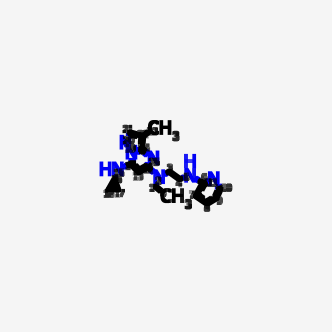 CCN(CCNc1ccccn1)c1cc(NC2CC2)n2ncc(C)c2n1